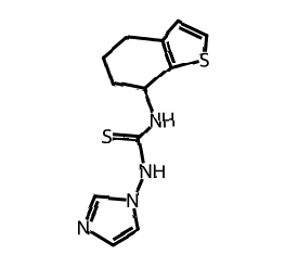 S=C(NC1CCCc2ccsc21)Nn1ccnc1